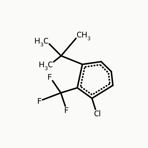 CC(C)(C)c1cccc(Cl)c1C(F)(F)F